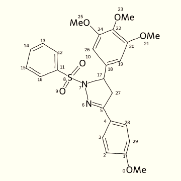 COc1ccc(C2=NN(S(=O)(=O)c3ccccc3)C(c3cc(OC)c(OC)c(OC)c3)C2)cc1